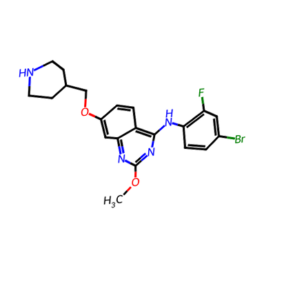 COc1nc(Nc2ccc(Br)cc2F)c2ccc(OCC3CCNCC3)cc2n1